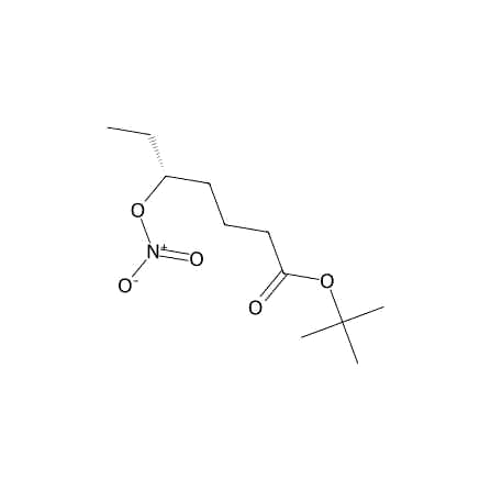 CC[C@H](CCCC(=O)OC(C)(C)C)O[N+](=O)[O-]